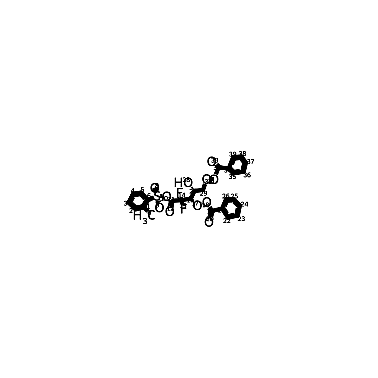 Cc1ccccc1S(=O)(=O)OC(=O)C(F)(F)[C@H](OOC(=O)c1ccccc1)[C@H](O)COOC(=O)c1ccccc1